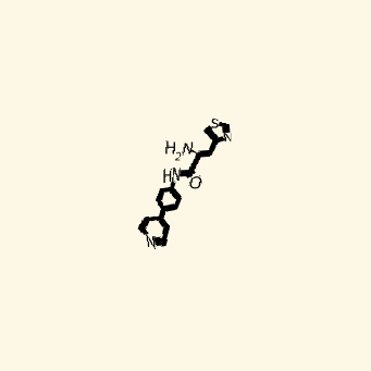 N[C@H](Cc1cscn1)C(=O)Nc1ccc(-c2ccncc2)cc1